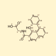 O=C(O)CNC(=O)c1ncc2cccc(-c3ccccc3)c2c1O